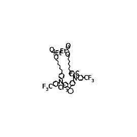 CCC1(COCCCCCCc2ccc(N(c3ccc(C4(c5ccc(N(c6ccc(CCCCCCOCC7(CC)COC7)cc6)c6ccc(C(F)(F)F)cc6C(F)(F)F)cc5)CCCCC4)cc3)c3ccc(C(F)(F)F)cc3C(F)(F)F)cc2)COC1